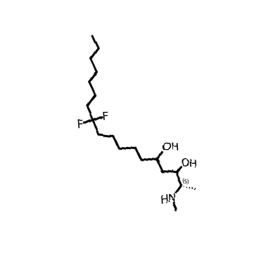 CCCCCCCC(F)(F)CCCCCC(O)CC(O)[C@H](C)NC